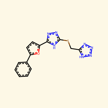 c1ccc(-c2ccc(-c3nnc(SCc4nnn[nH]4)[nH]3)o2)cc1